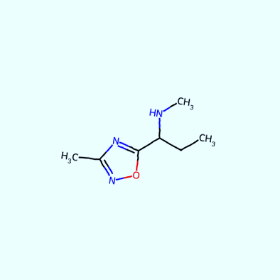 CCC(NC)c1nc(C)no1